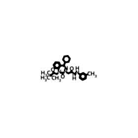 Cc1cccc(NNC(=O)CN2N=C(C3CCCCC3)c3ccccc3N(CC(=O)C(C)(C)C)C2=O)c1